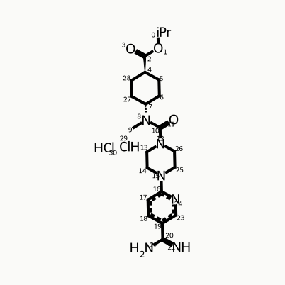 CC(C)OC(=O)[C@H]1CC[C@H](N(C)C(=O)N2CCN(c3ccc(C(=N)N)cn3)CC2)CC1.Cl.Cl